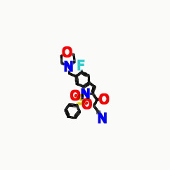 N#CCC(=O)c1cc2cc(F)c(CN3CCOCC3)cc2n1S(=O)(=O)c1ccccc1